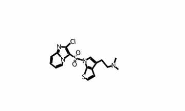 CN(C)CCc1cn(S(=O)(=O)c2c(Cl)nc3ccccn23)c2sccc12